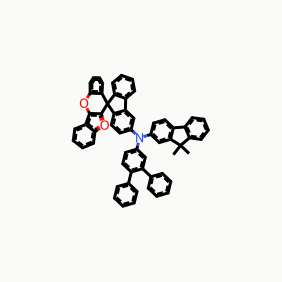 CC1(C)c2ccccc2-c2ccc(N(c3ccc(-c4ccccc4)c(-c4ccccc4)c3)c3ccc4c(c3)-c3ccccc3C43c4ccccc4Oc4c3oc3ccccc43)cc21